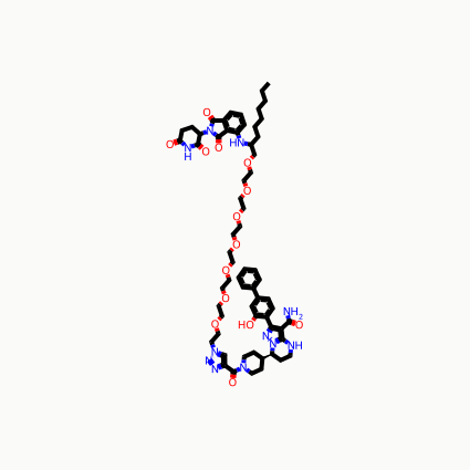 CCCCCCCC(COCCOCCOCCOCCOCCOCCOCCn1cc(C(=O)N2CCC([C@@H]3CCNc4c(C(N)=O)c(-c5ccc(-c6ccccc6)cc5O)nn43)CC2)nn1)Nc1cccc2c1C(=O)N(C1CCC(=O)NC1=O)C2=O